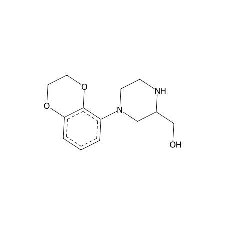 OCC1CN(c2cccc3c2OCCO3)CCN1